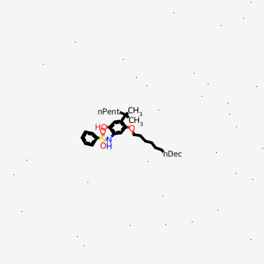 CCCCCCCCCCCCCCCCOc1cc(NS(=O)(=O)c2ccccc2)c(O)cc1C(C)(C)CCCCC